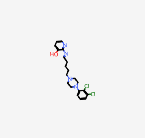 Oc1cccnc1/N=C/CCCCN1CCN(c2cccc(Cl)c2Cl)CC1